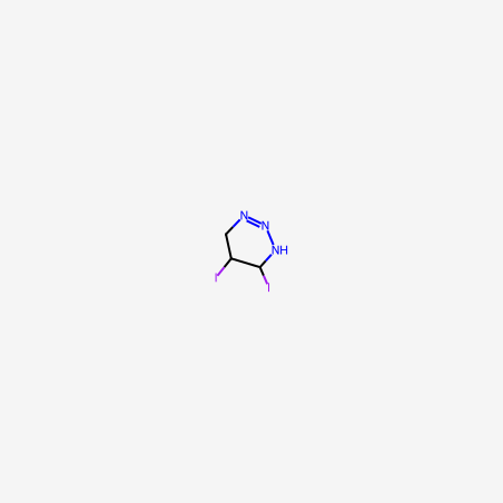 IC1CN=NNC1I